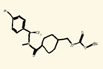 CN(C(=O)C1CCC(CNC(=O)OC(C)(C)C)CC1)[C@@H](c1ccc(Br)cc1)C(F)(F)F